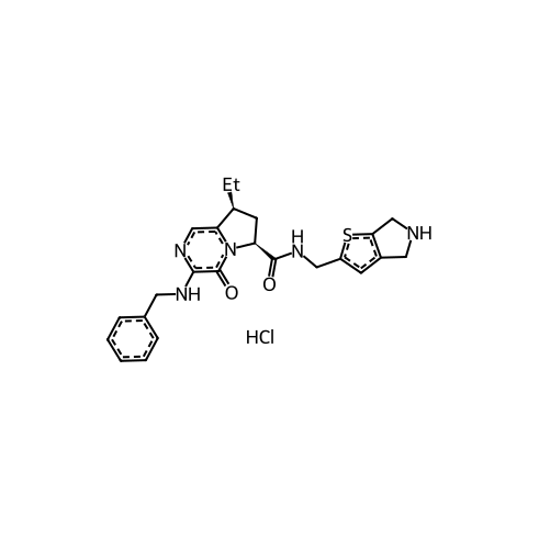 CC[C@H]1C[C@@H](C(=O)NCc2cc3c(s2)CNC3)n2c1cnc(NCc1ccccc1)c2=O.Cl